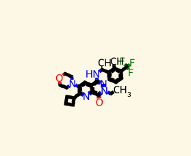 CCn1nc(N[C@H](C)c2cccc(C(F)(F)F)c2C)c2cc(N3CCOCC3)c(C3CCC3)nc2c1=O